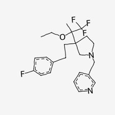 CCOC(C)(C(F)(F)F)C1(CCc2ccc(F)cc2)CCN(Cc2cccnc2)C1